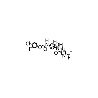 O=C(COc1ccc(Cl)c(F)c1)NC12CCC(NC(=O)c3cnc(C(F)F)cn3)(CC1)[C@@H](O)C2